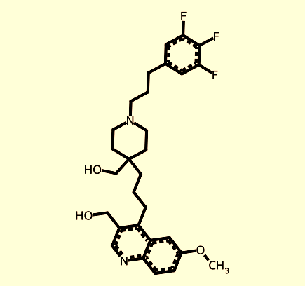 COc1ccc2ncc(CO)c(CCCC3(CO)CCN(CCCc4cc(F)c(F)c(F)c4)CC3)c2c1